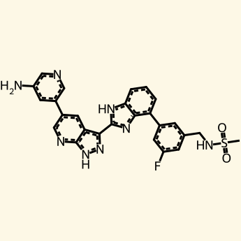 CS(=O)(=O)NCc1cc(F)cc(-c2cccc3[nH]c(-c4n[nH]c5ncc(-c6cncc(N)c6)cc45)nc23)c1